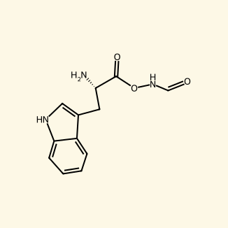 N[C@@H](Cc1c[nH]c2ccccc12)C(=O)ONC=O